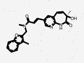 Cc1c(CN(C)C(=O)/C=C/c2cnc3c(c2)C=C[C@@](C)(O)C(=O)N3)oc2ccccc12